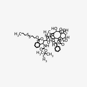 CCCSSCCOC(=O)OC(C(=O)O[C@H]1C[C@@]2(O)[C@@H](OC(=O)c3ccccc3)[C@@H]3[C@]4(OC(C)=O)CO[C@@H]4C[C@H](O)[C@@]3(C)C(=O)[C@H](O)C(=C1C)C2(C)C)[C@@H](NC(=O)OC(C)(C)C)c1ccccc1